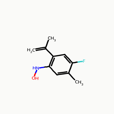 C=C(C)c1cc(F)c(C)cc1NO